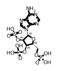 Nc1ncnc2c1ncn2[C@@H]1O[C@H](COP(=O)(O)O)[C@@H](OP(=O)(O)O)[C@H]1OS(=O)(=O)O